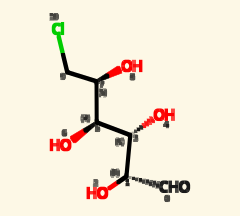 O=C[C@H](O)[C@@H](O)[C@@H](O)[C@H](O)CCl